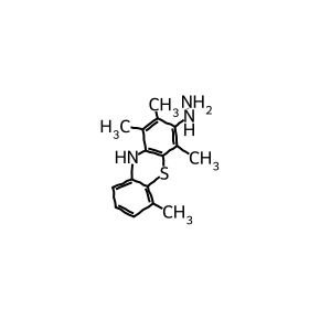 Cc1cccc2c1Sc1c(C)c(NN)c(C)c(C)c1N2